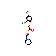 O=C(COc1ccc(Cl)cc1Cl)OCCN1CCCCC1